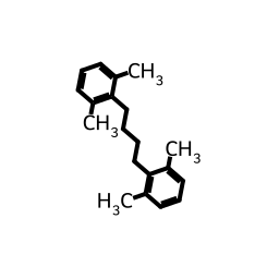 Cc1cccc(C)c1CCCCc1c(C)cccc1C